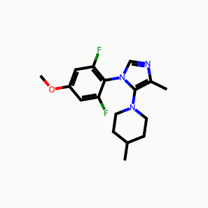 COc1cc(F)c(-n2cnc(C)c2N2CCC(C)CC2)c(F)c1